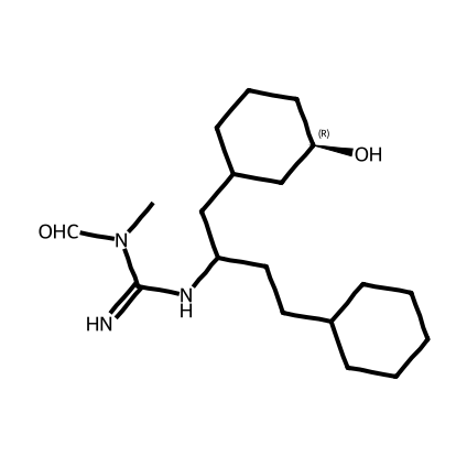 CN(C=O)C(=N)NC(CCC1CCCCC1)CC1CCC[C@@H](O)C1